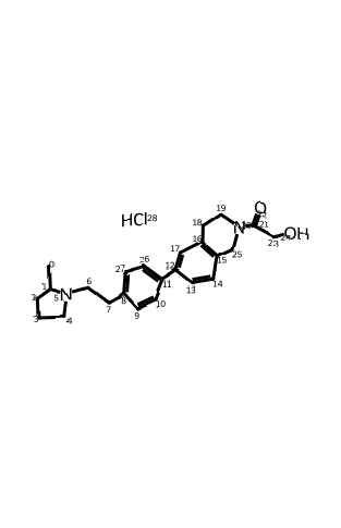 CC1CCCN1CCc1ccc(-c2ccc3c(c2)CCN(C(=O)CO)C3)cc1.Cl